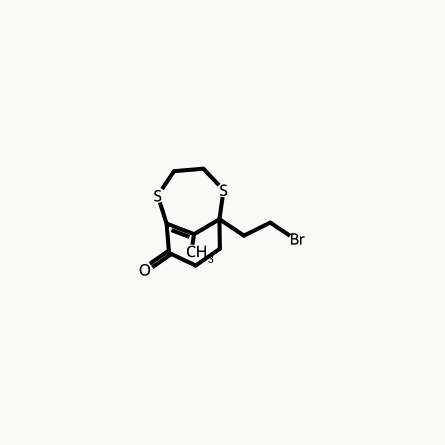 CC1=C2SCCSC1(CCBr)CCC2=O